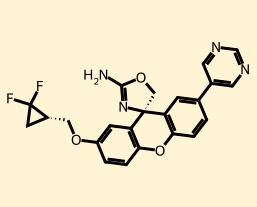 NC1=N[C@]2(CO1)c1cc(OC[C@@H]3CC3(F)F)ccc1Oc1ccc(-c3cncnc3)cc12